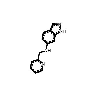 c1ccc(CNc2ccc3cn[nH]c3c2)nc1